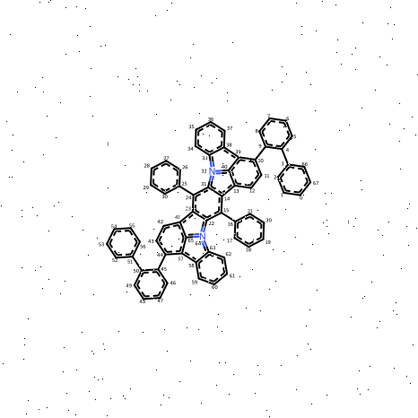 c1ccc(-c2ccccc2-c2ccc3c4c(-c5ccccc5)c5c(c(-c6ccccc6)c4n4c6ccccc6c2c34)c2ccc(-c3ccccc3-c3ccccc3)c3c4ccccc4n5c23)cc1